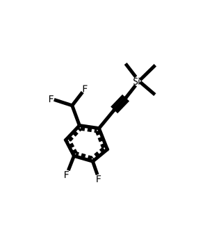 C[Si](C)(C)C#Cc1cc(F)c(F)cc1C(F)F